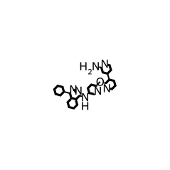 Nc1cc(-c2cccnc2Oc2ccc(Nc3nnc(-c4ccccc4)c4ccccc34)cn2)ccn1